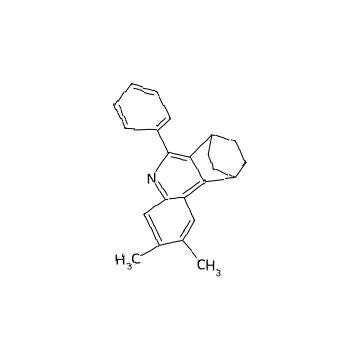 Cc1cc2nc(-c3ccccc3)c3c(c2cc1C)C1CCC3CC1